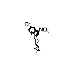 C[Si](C)(C)CCOCn1cc([N+](=O)[O-])c2cc(Br)cnc21